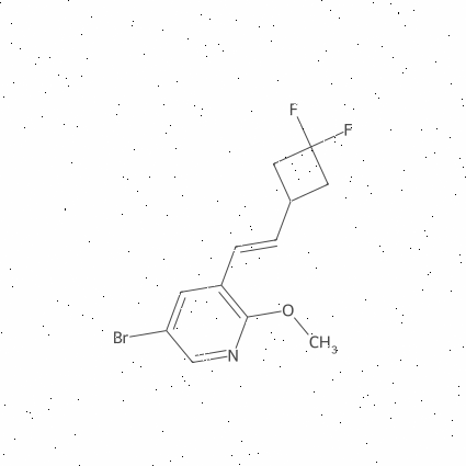 COc1ncc(Br)cc1/C=C/C1CC(F)(F)C1